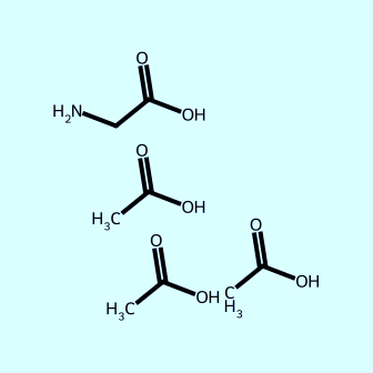 CC(=O)O.CC(=O)O.CC(=O)O.NCC(=O)O